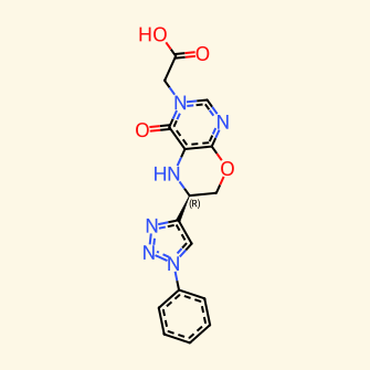 O=C(O)Cn1cnc2c(c1=O)N[C@H](c1cn(-c3ccccc3)nn1)CO2